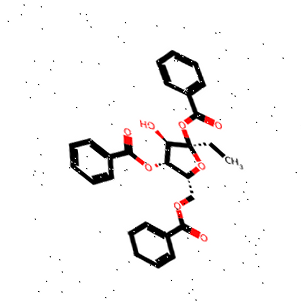 CC[C@]1(OC(=O)c2ccccc2)O[C@H](COC(=O)C2=C[C][C]C=C2)[C@H](OC(=O)c2ccccc2)[C@H]1O